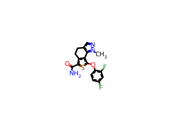 Cn1ncc2c1-c1c(Oc3ccc(F)cc3F)sc(C(N)=O)c1CC2